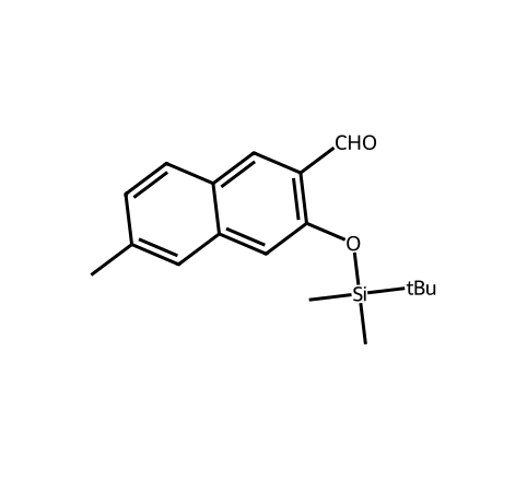 Cc1ccc2cc(C=O)c(O[Si](C)(C)C(C)(C)C)cc2c1